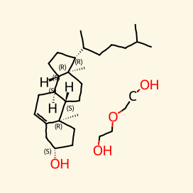 CC(C)CCCC(C)[C@H]1CC[C@H]2[C@@H]3CC=C4C[C@@H](O)CC[C@]4(C)[C@H]3CC[C@]12C.OCCOCCO